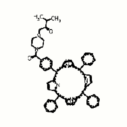 CC(C)C(=O)CN1CCN(C(=O)c2ccc(-c3c4nc(c(-c5ccccc5)c5ccc([nH]5)c(-c5ccccc5)c5nc(c(-c6ccccc6)c6ccc3[nH]6)C=C5)C=C4)cc2)CC1